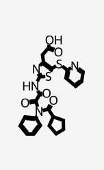 O=C(O)Cc1nc(NC(=O)C(=O)N(C(=O)C2CCCC2)c2ccccc2)sc1Sc1ccccn1